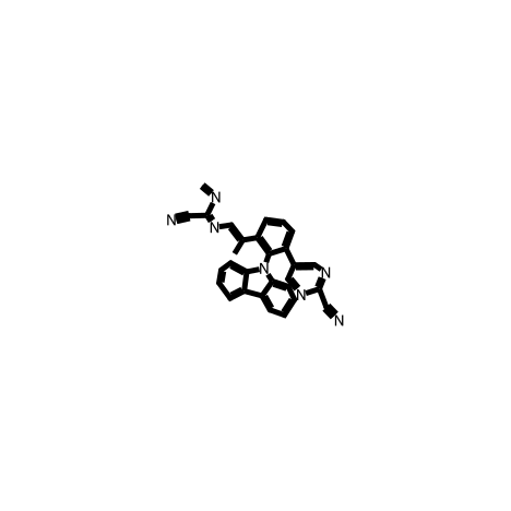 C=N/C(C#N)=N\C=C(/C)c1cccc(-c2cnc(C#N)nc2)c1-n1c2ccccc2c2ccccc21